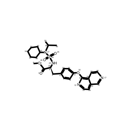 COC(=O)[C@H](Cc1ccc(Oc2nccc3cnccc23)cc1)NS(=O)(=O)N(C(C)C)C1CCCCC1